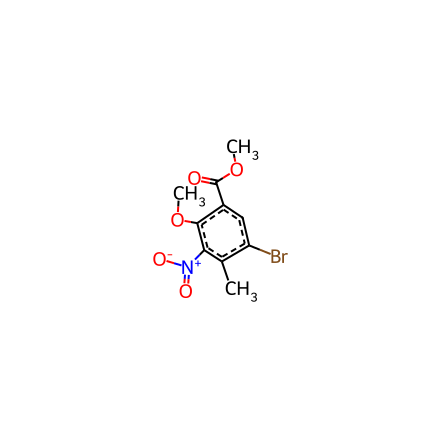 COC(=O)c1cc(Br)c(C)c([N+](=O)[O-])c1OC